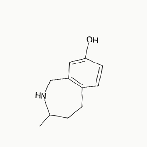 CC1CCc2ccc(O)cc2CN1